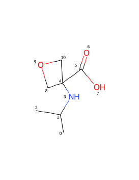 CC(C)NC1(C(=O)O)COC1